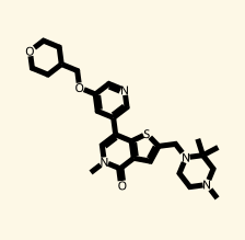 CN1CCN(Cc2cc3c(=O)n(C)cc(-c4cncc(OCC5CCOCC5)c4)c3s2)C(C)(C)C1